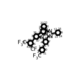 FC(F)(F)c1ccc(-c2ccc(-c3nc(-c4ccccc4)nc(-c4ccccc4)n3)c(-n3c4ccccc4c4ccc(-c5cc(C(F)(F)F)cc(C(F)(F)F)c5)cc43)c2)cc1